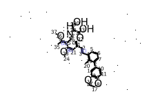 C=C(/C=C/c1cccc(-c2ccc3c(c2)OCCO3)c1C)/C=C(OC)\C(CNC(CO)C(=O)O)=C(/C)OC